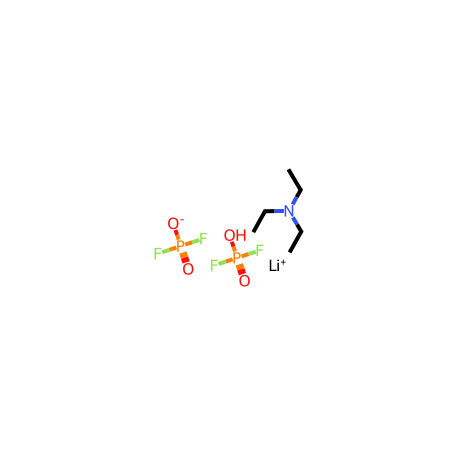 CCN(CC)CC.O=P(O)(F)F.O=P([O-])(F)F.[Li+]